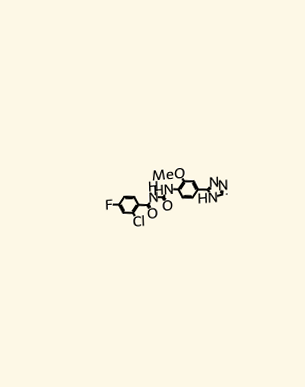 COc1cc(-c2nn[c][nH]2)ccc1NC(=O)NC(=O)c1ccc(F)cc1Cl